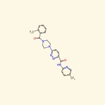 O=C(Nc1ccc(C(F)(F)F)cn1)c1ccc(N2CCN(C(=O)c3ccccc3C(F)(F)F)CC2)nn1